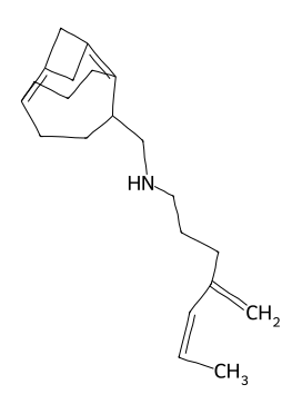 C=C(/C=C\C)CCCNCC1CCC2=C3CC(=C1CCC2)C3